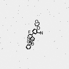 N#Cc1cc(-c2c(F)cnc3c2ccn3S(=O)(=O)c2ccccc2)ccc1OC1CCOCC1